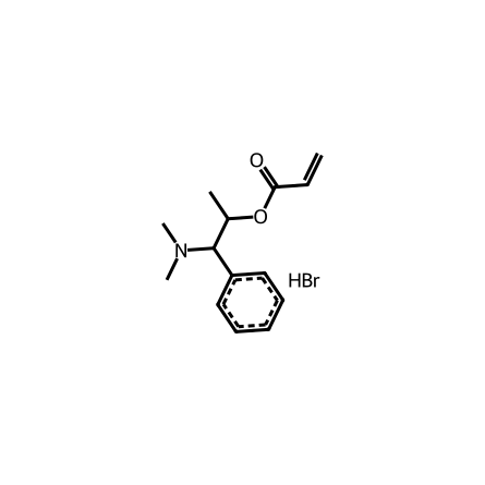 Br.C=CC(=O)OC(C)C(c1ccccc1)N(C)C